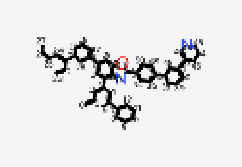 C=C/C=C(\C=C(/C)c1ccccc1)c1cc(-c2cccc(/C(C=C)=C/C=C\C)c2)cc2oc(-c3ccc(-c4cccc(-c5cccnc5)c4)cc3)nc12